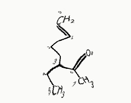 C=CCC(CC)C(C)=O